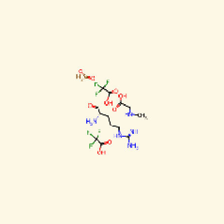 CNCC(=O)O.N=C(N)NCCC[C@H](N)C=O.O=C(O)C(F)(F)F.O=C(O)C(F)(F)F.O=[SH2]=O